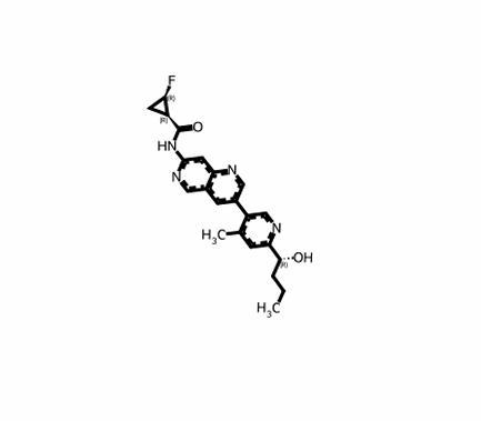 CCC[C@@H](O)c1cc(C)c(-c2cnc3cc(NC(=O)[C@H]4C[C@H]4F)ncc3c2)cn1